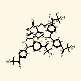 CC(C)(O)C(=O)c1ccc(C(OCC[N+]2(CCOC(c3ccc(C(=O)C(C)(C)O)cc3)c3ccc(C(=O)C(C)(C)O)cc3)C(=O)NC(=O)N(CCO)C2=O)c2ccc(C(=O)C(C)(C)O)cc2)cc1